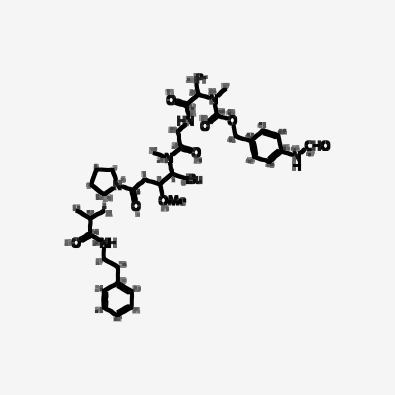 CCC(C)C(C(CC(=O)N1CCC[C@H]1CC(C)C(=O)NCCc1ccccc1)OC)N(C)C(=O)CNC(=O)C(C(C)C)N(C)C(=O)OCc1ccc(NC=O)cc1